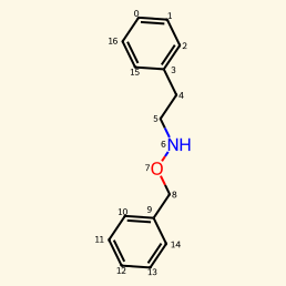 c1ccc(CCNOCc2ccccc2)cc1